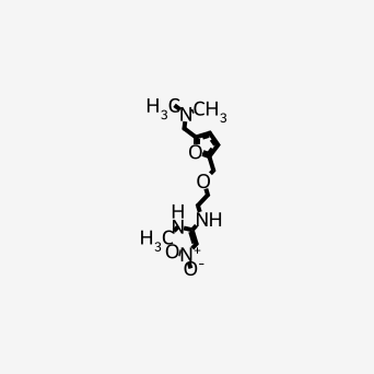 CN/C(=C\[N+](=O)[O-])NCCOCc1ccc(CN(C)C)o1